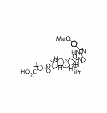 COc1ccc(-c2cnc(C3CCCN3C(=O)[C@]34CC[C@@H](C(C)C)[C@@H]3[C@H]3CC[C@@H]5[C@@]6(C)CC[C@H](OC(=O)[C@H]7C[C@@H](C(=O)O)C(C)(C)C7)C(C)(C)[C@@H]6CC[C@@]5(C)[C@]3(C)CC4)[nH]2)cc1